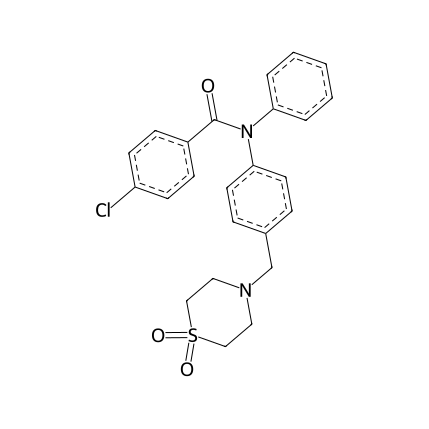 O=C(c1ccc(Cl)cc1)N(c1ccccc1)c1ccc(CN2CCS(=O)(=O)CC2)cc1